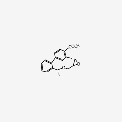 Cc1cc(-c2ccccc2[C@@H](C)OCC2CO2)ccc1C(=O)O